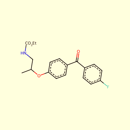 CCOC(=O)NCC(C)Oc1ccc(C(=O)c2ccc(F)cc2)cc1